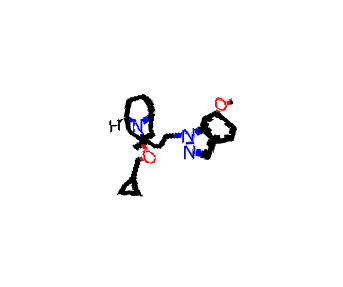 COc1ccc2cnn(CCC(C)N3C4CC[C@@H]3CC(OCC3CC3)C4)c2c1